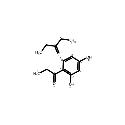 CCC(=O)CC.CCC(=O)c1ccc(O)cc1O